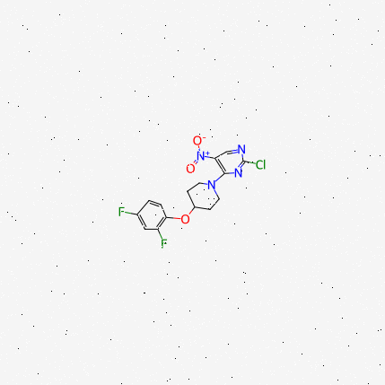 O=[N+]([O-])c1cnc(Cl)nc1N1CCC(Oc2ccc(F)cc2F)CC1